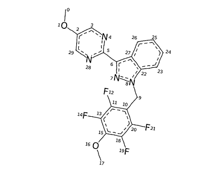 COc1cnc(-c2nn(Cc3c(F)c(F)c(OC)c(F)c3F)c3ccccc23)nc1